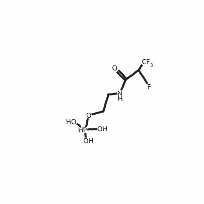 O=C(NCCO[PH](O)(O)O)C(F)C(F)(F)F